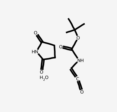 CC(C)(C)OC(=O)NC=C=O.O.O=C1CCC(=O)N1